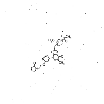 C[C@@H]1CN(S(C)(=O)=O)CCN1Cc1cc2c(=O)n(C)cc(-c3ccnc(OCCN4CCCC4=O)c3)c2o1